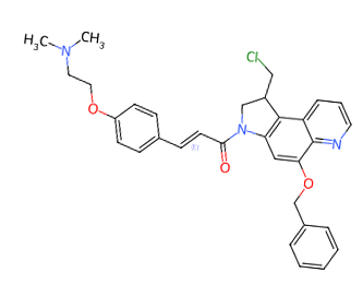 CN(C)CCOc1ccc(/C=C/C(=O)N2CC(CCl)c3c2cc(OCc2ccccc2)c2ncccc32)cc1